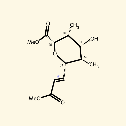 COC(=O)/C=C/[C@@H]1O[C@H](C(=O)OC)[C@H](C)[C@H](O)[C@@H]1C